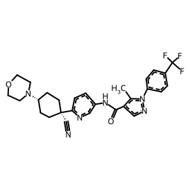 Cc1c(C(=O)Nc2ccc([C@]3(C#N)CC[C@@H](N4CCOCC4)CC3)nc2)cnn1-c1ccc(C(F)(F)F)cc1